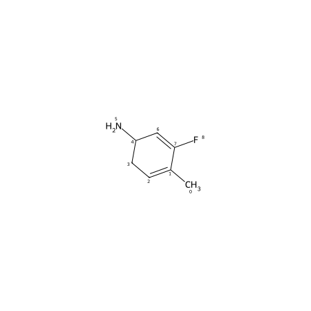 CC1=CCC(N)C=C1F